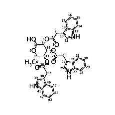 C[C@@H]1OC(O)[C@H](OC(=O)Cc2c[nH]c3ccccc23)[C@H](OC(=O)Cc2c[nH]c3ccccc23)[C@H]1OC(=O)Cc1c[nH]c2ccccc12